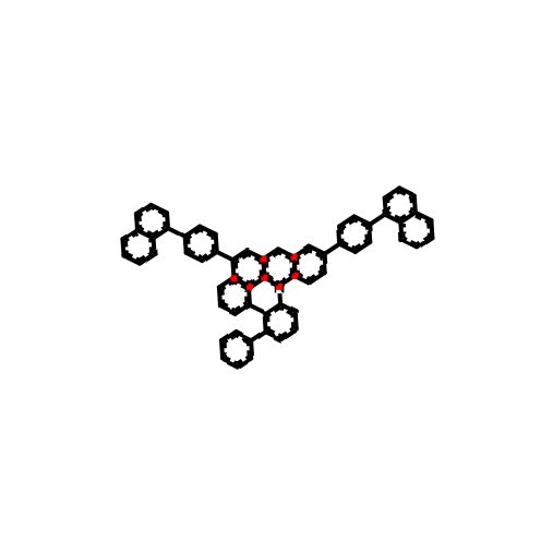 c1ccc(-c2ccccc2-c2c(-c3ccccc3)cccc2N(c2ccc(-c3ccc(-c4cccc5ccccc45)cc3)cc2)c2ccc(-c3ccc(-c4cccc5ccccc45)cc3)cc2)cc1